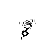 CC1CN=C(c2ccc(F)cc2)O[Si]1(C)C